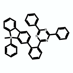 CS1(c2ccccc2)c2ccccc2-c2ccc(-c3ccccc3-c3nc(-c4ccccc4)nc(-c4ccccc4)n3)cc21